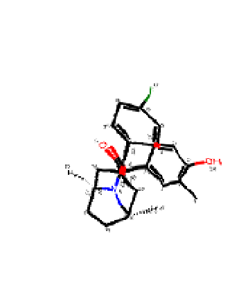 Cc1cc(C(=O)N2[C@@H]3CC[C@H]2C[C@@H](c2ccc(F)cc2)C3)ccc1O